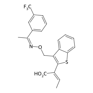 CC=C(C(=O)O)c1sc2ccccc2c1CON=C(C)c1cccc(C(F)(F)F)c1